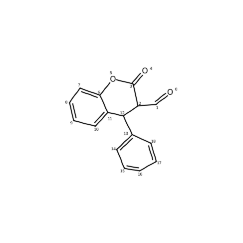 O=CC1C(=O)Oc2ccccc2C1c1ccccc1